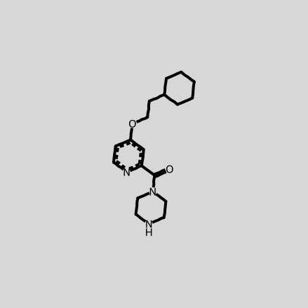 O=C(c1cc(OCCC2CCCCC2)ccn1)N1CCNCC1